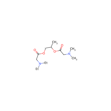 CCN(CC)CC(=O)O[CH]C(C)OC(=O)CN(C)C